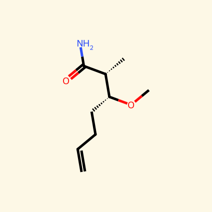 C=CCC[C@@H](OC)[C@@H](C)C(N)=O